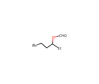 CCC(C)CCC(CC)OC=O